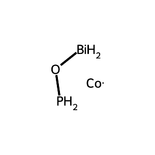 P[O][BiH2].[Co]